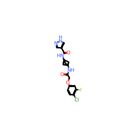 O=C(COc1ccc(Cl)c(F)c1)NC12CC(NC(=O)c3cn[nH]c3)(C1)C2